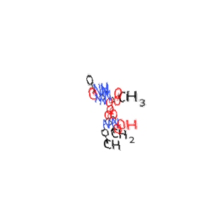 C#Cc1ccc(CN(CCOC(=O)OC[C@H]2O[C@@H](n3cnc4c(NC(=O)c5ccccc5)ncnc43)C[C@@H]2OC(C)=O)CC2(CC=C)CCCCN2C(=O)O)cc1